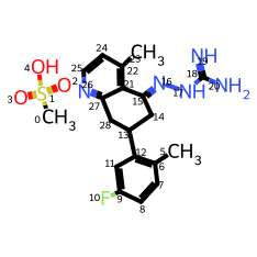 CS(=O)(=O)O.Cc1ccc(F)cc1C1CC(=NNC(=N)N)c2c(C)ccnc2C1